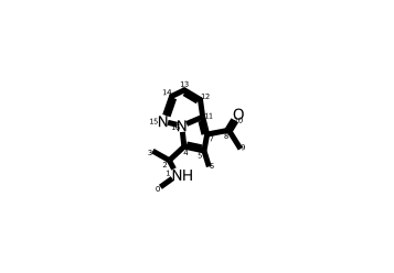 CNC(C)c1c(C)c(C(C)=O)c2cccnn12